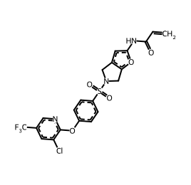 C=CC(=O)Nc1cc2c(o1)CN(S(=O)(=O)c1ccc(Oc3ncc(C(F)(F)F)cc3Cl)cc1)C2